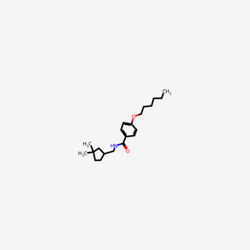 CCCCCCOc1ccc(C(=O)NCC2CCC(C)(C)C2)cc1